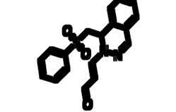 O=CC=CN1N=Cc2ccccc2C1CS(=O)(=O)c1ccccc1